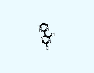 Clc1cnc(-c2ncccn2)c(Cl)n1